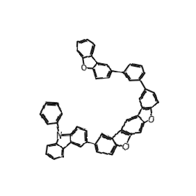 c1ccc(-n2c3ccccc3c3cc(-c4ccc5oc6cc7oc8ccc(-c9cccc(-c%10ccc%11oc%12ccccc%12c%11c%10)c9)cc8c7cc6c5c4)ccc32)cc1